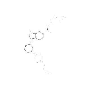 CCOC(=O)CON=C(C)c1ccc2c(c1)ncn2-c1cccc(N2CCN(CCO)CC2)c1